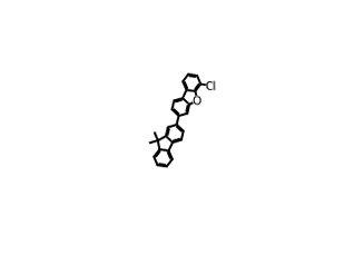 CC1(C)c2ccccc2-c2ccc(-c3ccc4c(c3)oc3c(Cl)cccc34)cc21